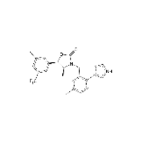 Cc1cc([C@H]2OC(=O)N(Cc3cc(C)ccc3-c3cc[nH]c3)[C@H]2C)cc(C(F)(F)F)c1